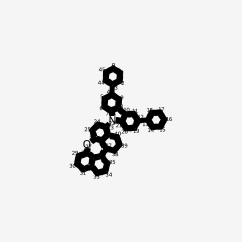 c1ccc(-c2ccc3c(c2)c2cc(-c4ccccc4)ccc2n3-c2ccc3oc4cccc5cccc(c6cccc2c36)c54)cc1